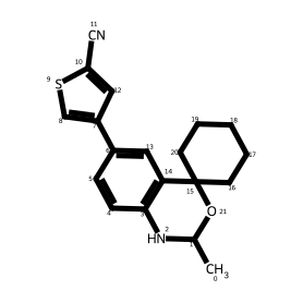 CC1Nc2ccc(-c3csc(C#N)c3)cc2C2(CCCCC2)O1